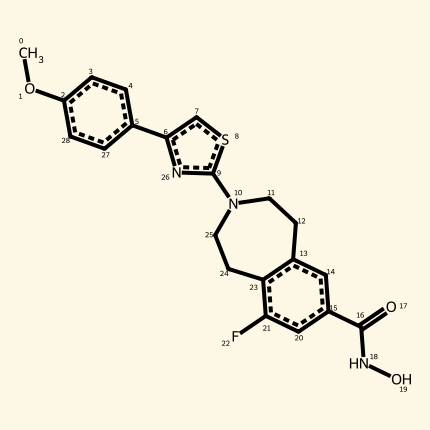 COc1ccc(-c2csc(N3CCc4cc(C(=O)NO)cc(F)c4CC3)n2)cc1